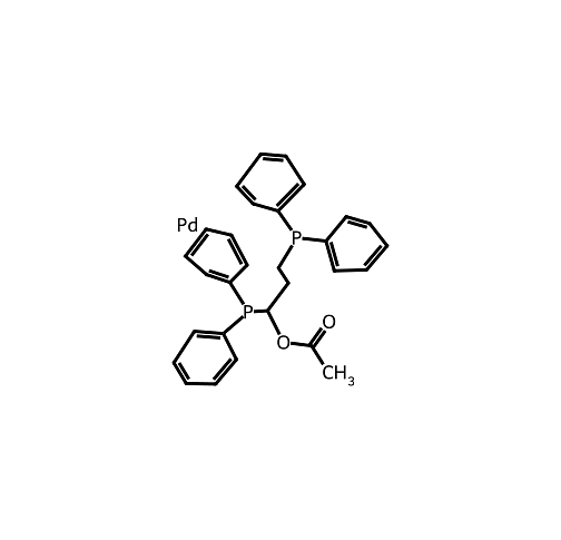 CC(=O)OC(CCP(c1ccccc1)c1ccccc1)P(c1ccccc1)c1ccccc1.[Pd]